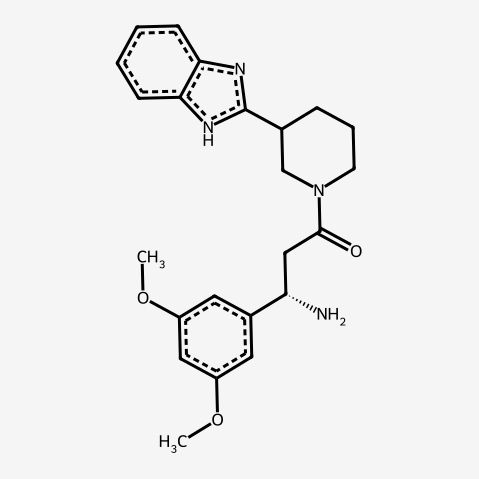 COc1cc(OC)cc([C@@H](N)CC(=O)N2CCCC(c3nc4ccccc4[nH]3)C2)c1